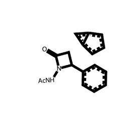 CC(=O)NN1C(=O)CC1c1ccccc1.c1cc2cc-2c1